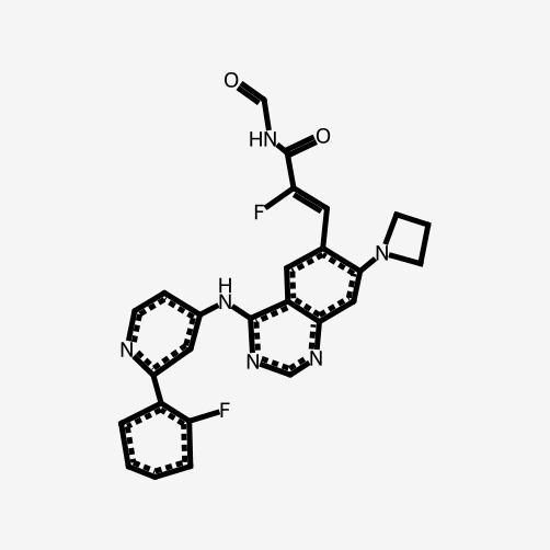 O=CNC(=O)C(F)=Cc1cc2c(Nc3ccnc(-c4ccccc4F)c3)ncnc2cc1N1CCC1